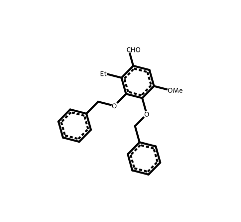 CCc1c(C=O)cc(OC)c(OCc2ccccc2)c1OCc1ccccc1